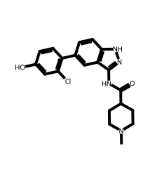 CN1CCC(C(=O)Nc2n[nH]c3ccc(-c4ccc(O)cc4Cl)cc23)CC1